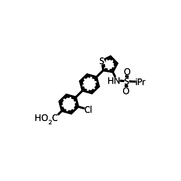 CC(C)S(=O)(=O)Nc1ccsc1-c1ccc(-c2ccc(C(=O)O)cc2Cl)cc1